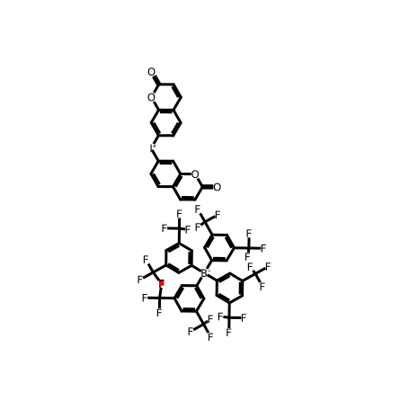 FC(F)(F)c1cc([B-](c2cc(C(F)(F)F)cc(C(F)(F)F)c2)(c2cc(C(F)(F)F)cc(C(F)(F)F)c2)c2cc(C(F)(F)F)cc(C(F)(F)F)c2)cc(C(F)(F)F)c1.O=c1ccc2ccc([I+]c3ccc4ccc(=O)oc4c3)cc2o1